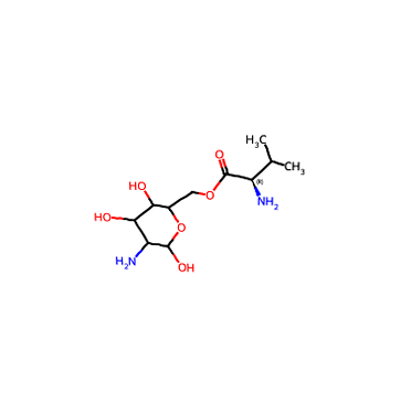 CC(C)[C@@H](N)C(=O)OCC1OC(O)C(N)C(O)C1O